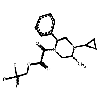 CC1CN(C(=O)C(=O)OCC(F)(F)F)C(c2ccccc2)CN1C1CC1